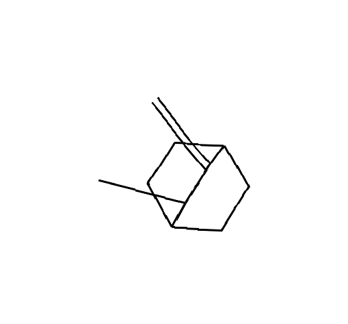 C=C1C2CCC(CC2)C1C